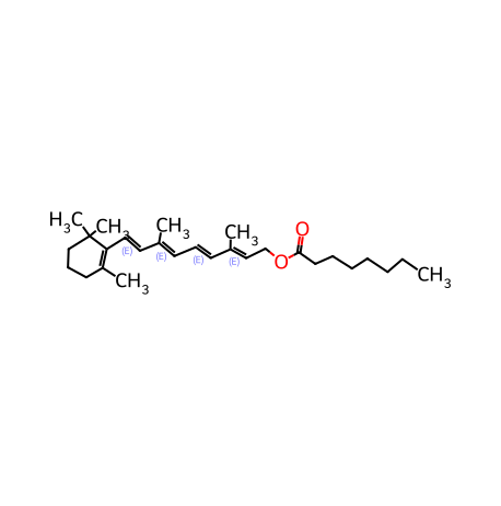 CCCCCCCC(=O)OC/C=C(C)/C=C/C=C(C)/C=C/C1=C(C)CCCC1(C)C